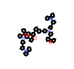 c1cc(-c2cccc3oc4ccccc4c23)cc(N(c2ccc(-c3cccc(-n4c5ccccc5c5ccccc54)c3)cc2)c2ccc(-c3ccc4c(-c5ccc6c(c5)oc5cccc(-c7cccc(N(c8ccc(-c9cccc(-n%10c%11ccccc%11c%11ccccc%11%10)c9)cc8)c8ccccc8-c8cc9ccccc9c9ccccc89)c7)c56)cccc4c3)cc2)c1